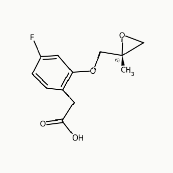 C[C@]1(COc2cc(F)ccc2CC(=O)O)CO1